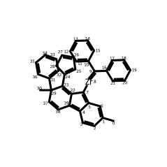 Cc1ccc2c(c1)=[C]([Zr]=[C](c1ccccc1)c1ccccc1)C1=C(C3=CC=CC3)C(C)(c3ccccc3)C=CC=21